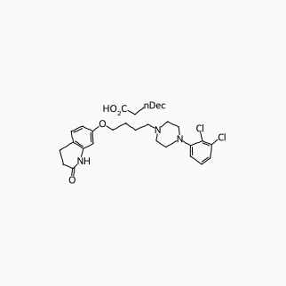 CCCCCCCCCCCC(=O)O.O=C1CCc2ccc(OCCCCN3CCN(c4cccc(Cl)c4Cl)CC3)cc2N1